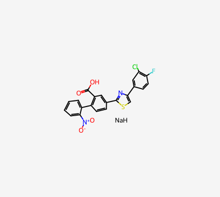 O=C(O)c1cc(-c2nc(-c3ccc(F)c(Cl)c3)cs2)ccc1-c1ccccc1[N+](=O)[O-].[NaH]